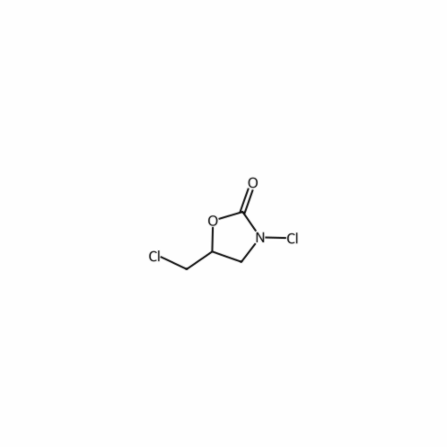 O=C1OC(CCl)CN1Cl